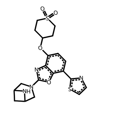 O=S1(=O)CCC(Oc2ccc(-c3nccs3)c3oc(N4CC5CC(C4)N5)nc23)CC1